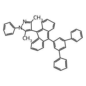 Cc1nn(-c2ccccc2)c(C)c1-c1c2ccccc2c(-c2cc(-c3ccccc3)cc(-c3ccccc3)c2)c2ccccc12